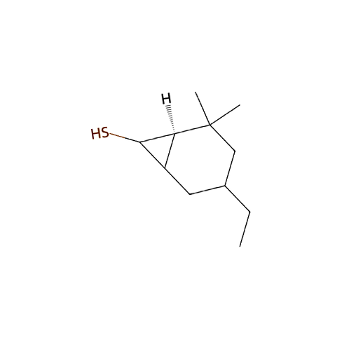 CCC1CC2C(S)[C@H]2C(C)(C)C1